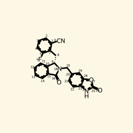 N#Cc1cccc(F)c1C[C@H]1c2ccccc2C(=O)N1Cc1ccc2[nH]c(=O)oc2c1